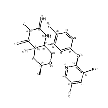 C[C@H]1C[C@H]2C(=O)N(C)C(=N)N[C@@]2(c2cc(Oc3ncc(F)cc3F)ccc2F)CO1